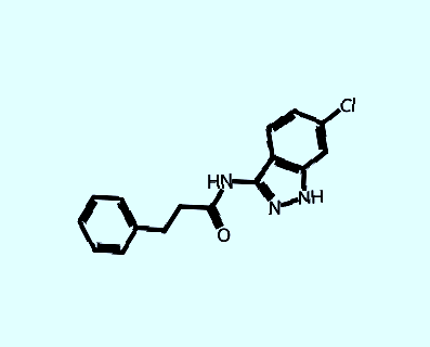 O=C(CCc1ccccc1)Nc1n[nH]c2cc(Cl)ccc12